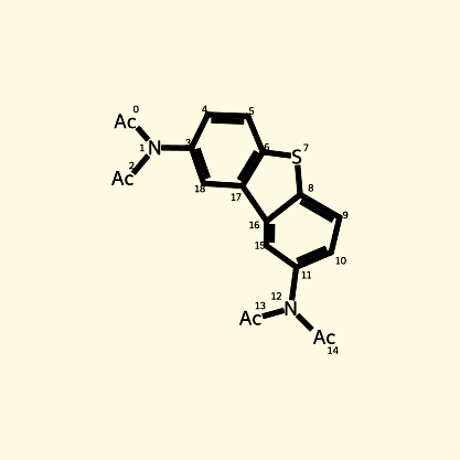 CC(=O)N(C(C)=O)c1ccc2sc3ccc(N(C(C)=O)C(C)=O)cc3c2c1